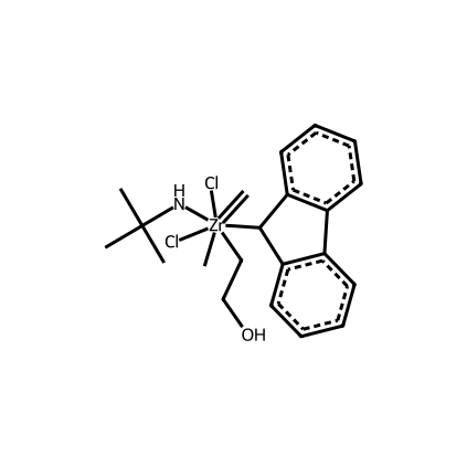 [CH2]=[Zr]([CH3])([Cl])([Cl])([CH2]CO)([NH]C(C)(C)C)[CH]1c2ccccc2-c2ccccc21